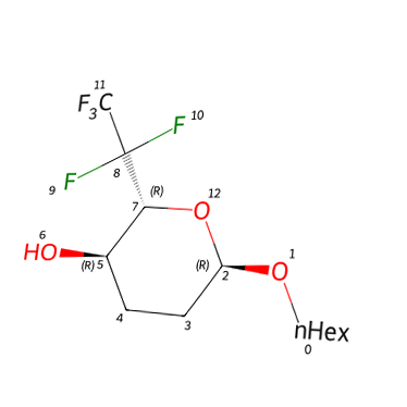 CCCCCCO[C@H]1CC[C@@H](O)[C@H](C(F)(F)C(F)(F)F)O1